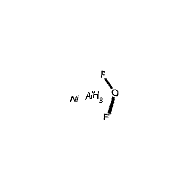 FOF.[AlH3].[Ni]